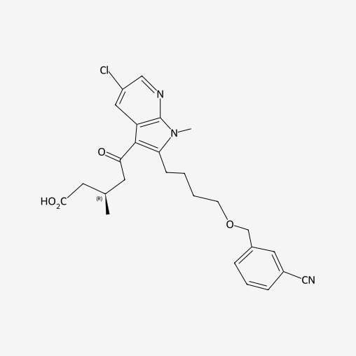 C[C@@H](CC(=O)O)CC(=O)c1c(CCCCOCc2cccc(C#N)c2)n(C)c2ncc(Cl)cc12